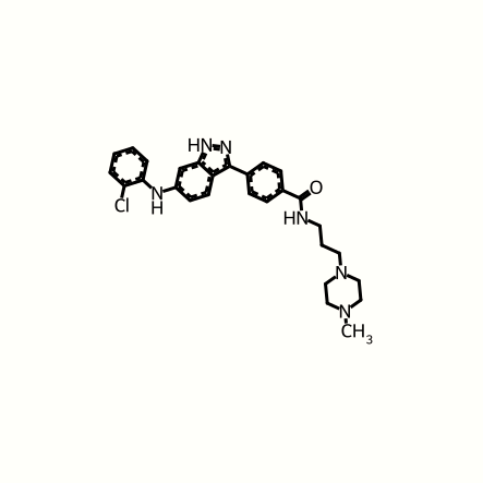 CN1CCN(CCCNC(=O)c2ccc(-c3n[nH]c4cc(Nc5ccccc5Cl)ccc34)cc2)CC1